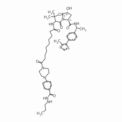 CCCNNC(=O)c1ccc(N2CCN(C(=O)CCCCCCCCC(=O)NC(C(=O)N3C[C@H](O)C[C@H]3C(=O)NC(C)c3ccc(-c4scnc4C)cc3)C(C)(C)C)CC2)cc1